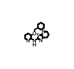 c1ccc(COc2cccnc2Nc2nc3cccnc3s2)cc1